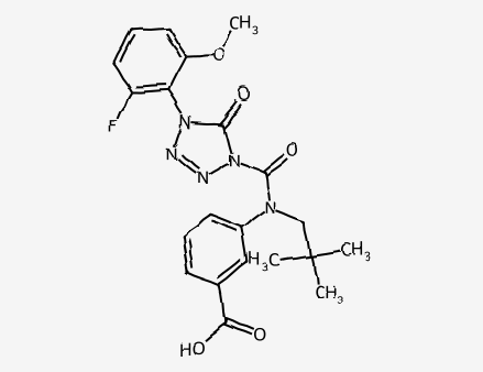 COc1cccc(F)c1-n1nnn(C(=O)N(CC(C)(C)C)c2cccc(C(=O)O)c2)c1=O